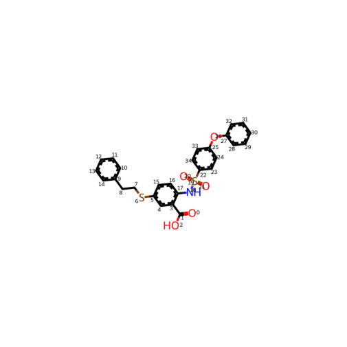 O=C(O)c1cc(SCCc2ccccc2)ccc1NS(=O)(=O)c1ccc(Oc2ccccc2)cc1